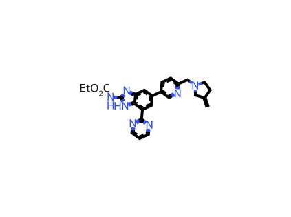 C=C1CCN(Cc2ccc(-c3cc(-c4ncccn4)c4[nH]c(NC(=O)OCC)nc4c3)cn2)C1